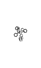 C1=CC[C]([Ti+2]([CH]2C=Cc3ccccc32)[SiH](c2ccccc2)c2ccccc2)=C1.[Cl-].[Cl-]